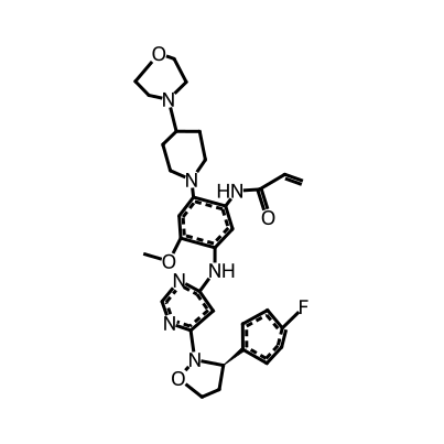 C=CC(=O)Nc1cc(Nc2cc(N3OCC[C@@H]3c3ccc(F)cc3)ncn2)c(OC)cc1N1CCC(N2CCOCC2)CC1